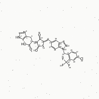 O=C(O)C(Cc1c[nH]cn1)N1C(=O)S/C(=C\c2ccc3c(cnn3Cc3ccc(Cl)cc3C(F)(F)F)c2)C1=O